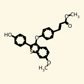 COC(=O)C=Cc1ccc(Oc2c(-c3ccc(O)cc3)sc3cc(OC)ccc23)cc1